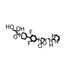 O=C([C@@H](O)CO)N1CC=C(c2c(F)cc(N3C[C@H](CNc4ncccn4)OC3=O)cc2F)CC1